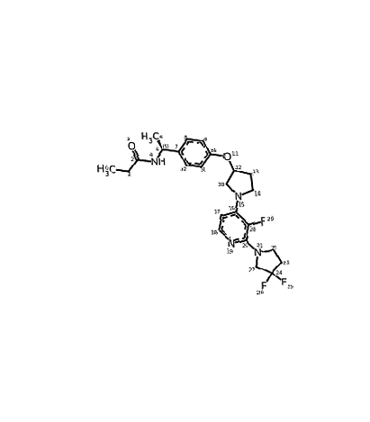 CCC(=O)N[C@@H](C)c1ccc(OC2CCN(c3ccnc(N4CCC(F)(F)C4)c3F)C2)cc1